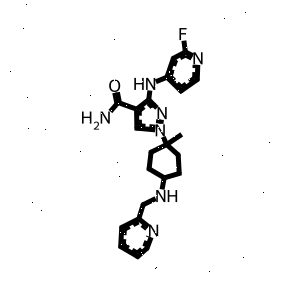 CC1(n2cc(C(N)=O)c(Nc3ccnc(F)c3)n2)CCC(NCc2ccccn2)CC1